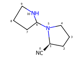 N#C[C@@H]1CCCN1C1CCCN1